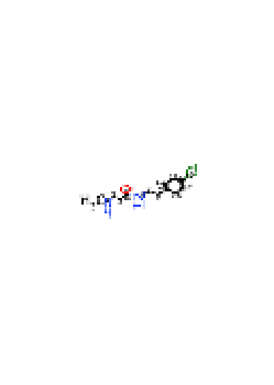 CNCCC(=O)NCCc1ccc(Cl)cc1